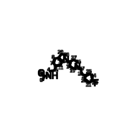 CC(=O)NCCc1ccc2c(c1)N(C1CCN(CCc3ccc(F)cc3)CC1)CC2